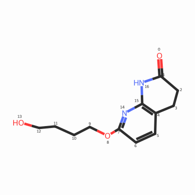 O=C1CCc2ccc(OCCCCO)nc2N1